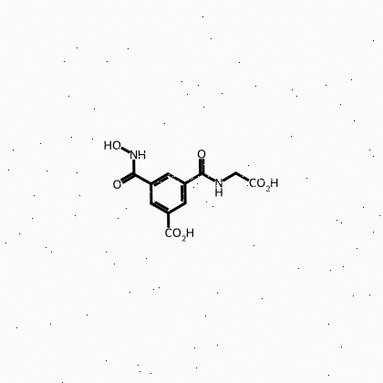 O=C(O)CNC(=O)c1cc(C(=O)O)cc(C(=O)NO)c1